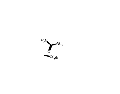 CC(=O)O.NC(N)=O.[Zr]